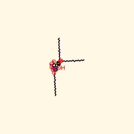 CCCCCCCCCCCCCCCCOc1ccc(-c2c(OC)c(OC)c(OC)c([N+](=O)[O-])c2C(O)(c2ccc(OCCCCCCCCCCCCCCCC)cc2)c2ccc(OCCCCCCCCCCCCCCCC)cc2)cc1